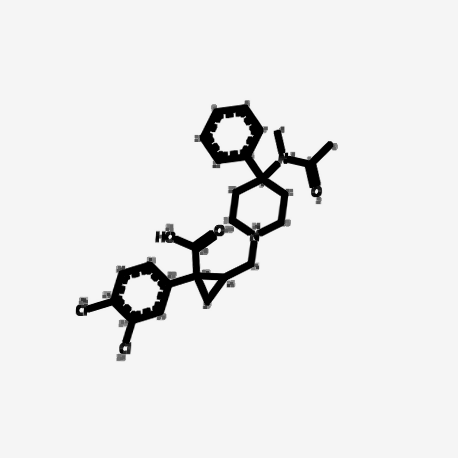 CC(=O)N(C)C1(c2ccccc2)CCN(CC2CC2(C(=O)O)c2ccc(Cl)c(Cl)c2)CC1